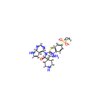 CS(=O)(=O)c1ccc2nc(N(C(=O)C3(CN)CCNCC3)c3ncnc4[nH]ccc34)sc2c1